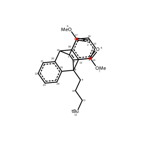 COC(=O)C1=C(C(=O)OC)C2(CCCC(C)(C)C)c3ccccc3C1c1ccccc12